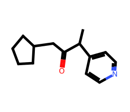 CC(C(=O)CC1CCCC1)c1ccncc1